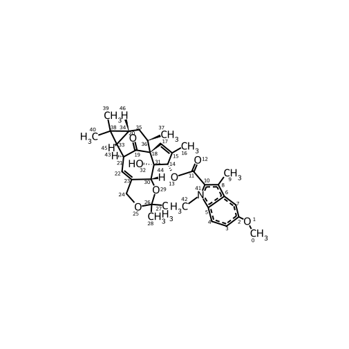 COc1ccc2c(c1)c(C)c(C(=O)O[C@H]1C(C)=C[C@]34C(=O)[C@@H](C=C5COC(C)(C)O[C@H]5[C@]13O)[C@H]1[C@@H](C[C@H]4C)C1(C)C)n2C